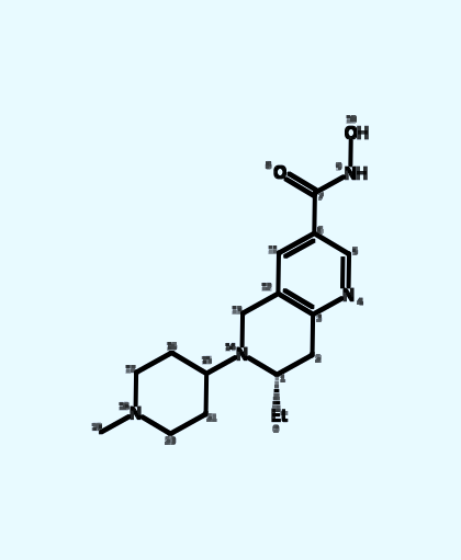 CC[C@H]1Cc2ncc(C(=O)NO)cc2CN1C1CCN(C)CC1